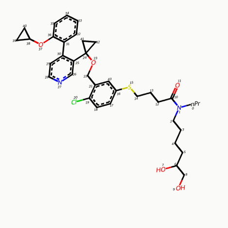 CCCN(CCCCC(O)CO)C(=O)CCCSc1ccc(Cl)c(COC2(c3cnccc3-c3ccccc3OC3CC3)CC2)c1